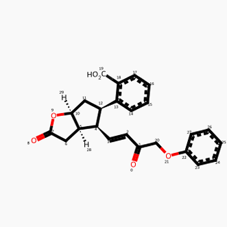 O=C(/C=C/[C@H]1[C@H]2CC(=O)O[C@H]2C[C@H]1c1ccccc1C(=O)O)COc1ccccc1